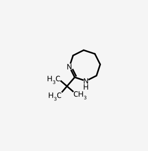 CC(C)(C)/C1=N/CCCCCN1